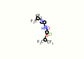 O=C(N/N=C/c1cccc2c1ccn2Cc1cc(C(F)(F)F)cc(C(F)(F)F)c1)c1ccc(OCc2cc(C(F)(F)F)cc(C(F)(F)F)c2)c(Cl)c1